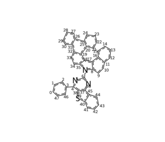 c1ccc(-c2nc(-n3c4ccc5ccccc5c4c4c5c6ccccc6c6ccccc6c5ccc43)nc3c2sc2ccccc23)cc1